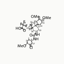 COc1ccc(NC(=O)N[C@@H]2CC[C@@]3(c4ccc(OC)c(OC)c4)CCN(C)[C@H]3C2)cc1Cl.O=C(O)C(F)(F)F